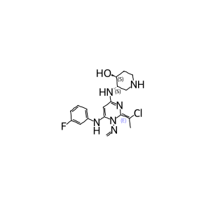 C=NN1C(Nc2cccc(F)c2)=CC(N[C@H]2CNCC[C@@H]2O)=N/C1=C(/C)Cl